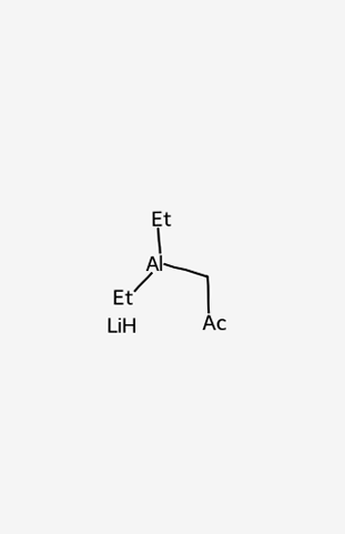 C[CH2][Al]([CH2]C)[CH2]C(C)=O.[LiH]